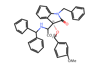 CCOC(=O)C(NC(c1ccccc1)c1ccccc1)[C@]1(OCc2ccc(OC)cc2)C(=O)N(Cc2ccccc2)c2ccccc21